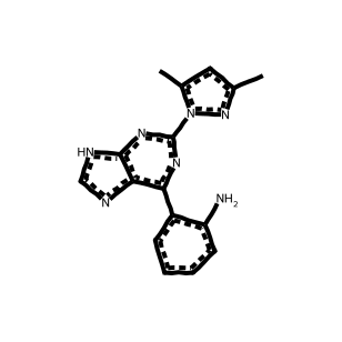 Cc1cc(C)n(-c2nc(-c3ccccc3N)c3nc[nH]c3n2)n1